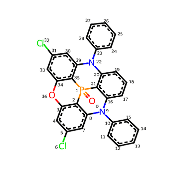 O=P12c3c4cc(Cl)cc3N(c3ccccc3)c3cccc(c31)N(c1ccccc1)c1cc(Cl)cc(c12)O4